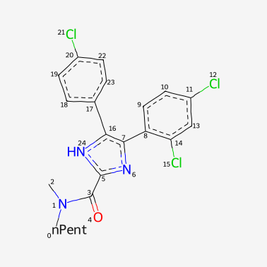 CCCCCN(C)C(=O)c1nc(-c2ccc(Cl)cc2Cl)c(-c2ccc(Cl)cc2)[nH]1